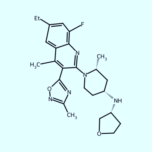 CCc1cc(F)c2nc(N3CC[C@@H](N[C@@H]4CCOC4)C[C@H]3C)c(-c3nc(C)no3)c(C)c2c1